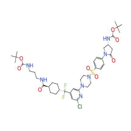 CC(C)(C)OC(=O)NCCCNC(=O)[C@H]1CC[C@H](C(F)(F)c2cc(Cl)nc(N3CCN(S(=O)(=O)c4ccc(N5C[C@H](NC(=O)OC(C)(C)C)CC5=O)cc4)CC3)c2)CC1